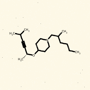 CCCCC(C)CN1CCC(O[C@H](C)C#CC(C)C)CC1